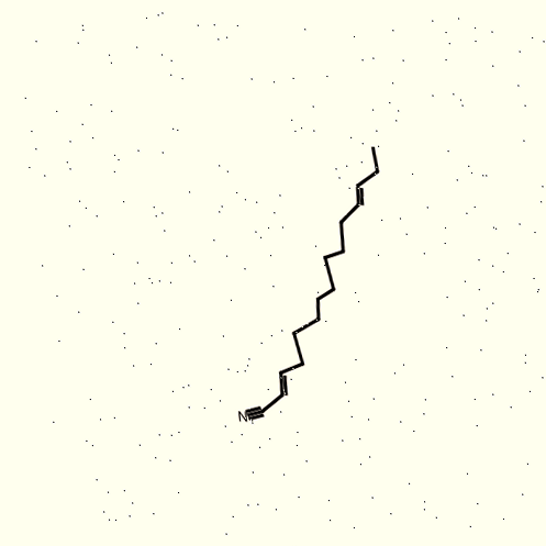 CCC=CCCCCCCCCC=CC#N